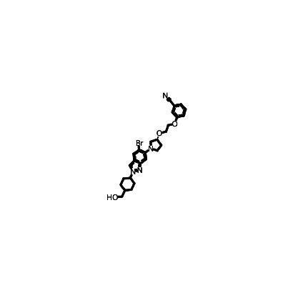 N#Cc1cccc(OCCO[C@@H]2CCN(c3cc4nn(C5CCC(CO)CC5)cc4cc3Br)C2)c1